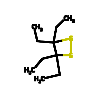 CCC1(CC)SSC1(CC)CC